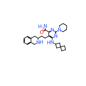 NC(=O)c1nc(N2CCCCC2)nc(NC2CC3(CCC3)C2)c1CCC1Cc2ccccc2CN1